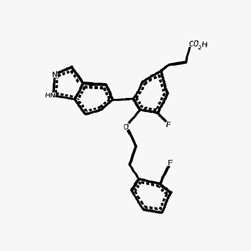 O=C(O)CCc1cc(F)c(OCCc2ccccc2F)c(-c2ccc3[nH]ncc3c2)c1